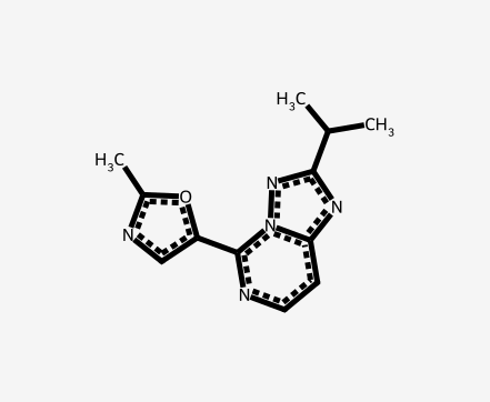 Cc1ncc(-c2nccc3nc(C(C)C)nn23)o1